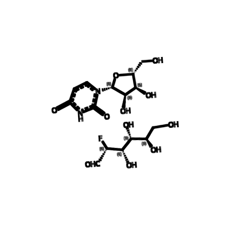 O=C[C@H](F)[C@@H](O)[C@H](O)[C@H](O)CO.O=c1ccn([C@@H]2O[C@H](CO)[C@@H](O)[C@H]2O)c(=O)[nH]1